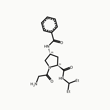 CCC(CC)NC(=O)[C@@H]1C[C@@H](NC(=O)c2ccccc2)CN1C(=O)CN